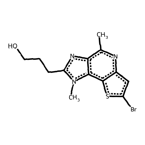 Cc1nc2cc(Br)sc2c2c1nc(CCCO)n2C